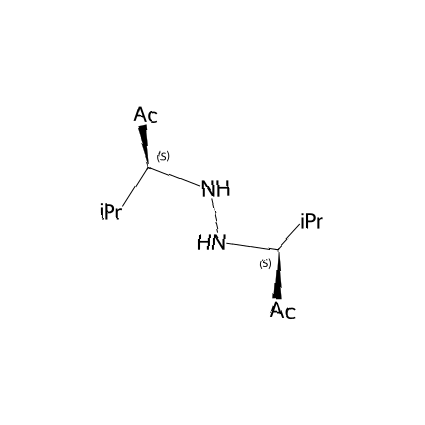 CC(=O)[C@@H](NN[C@H](C(C)=O)C(C)C)C(C)C